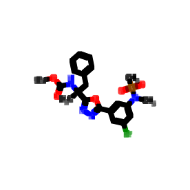 CN(c1cc(Br)cc(-c2nnc([C@@](C)(Cc3ccccc3)NC(=O)OC(C)(C)C)o2)c1)S(C)(=O)=O